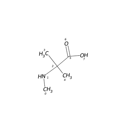 CNC(C)(C)C(=O)O